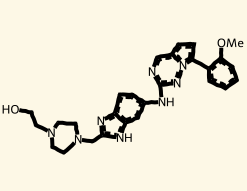 COc1ccccc1-c1ccc2cnc(Nc3ccc4nc(CN5CCN(CCO)CC5)[nH]c4c3)nn12